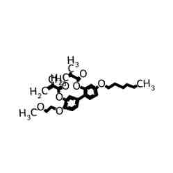 C=C(C)C(=O)Oc1cc(-c2ccc(OCCCCCC)cc2OC(=O)C(=C)C)ccc1OCCOC